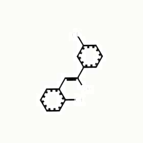 OC(=Cc1ccccc1O)c1cccc(Cl)c1